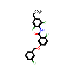 O=C(O)Cc1cc(F)c(NC(=O)c2cc(OCc3cccc(Cl)c3)ccc2Cl)c(F)c1